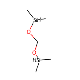 C[SiH](C)OCO[SiH](C)C